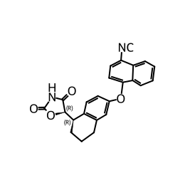 [C-]#[N+]c1ccc(Oc2ccc3c(c2)CCC[C@H]3[C@H]2OC(=O)NC2=O)c2ccccc12